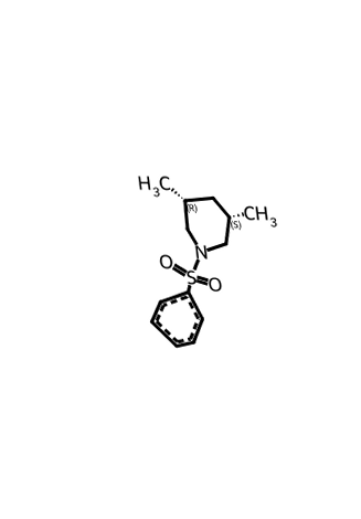 C[C@@H]1C[C@H](C)CN(S(=O)(=O)c2ccccc2)C1